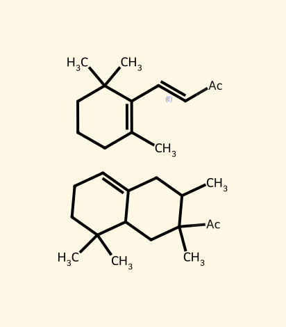 CC(=O)/C=C/C1=C(C)CCCC1(C)C.CC(=O)C1(C)CC2C(=CCCC2(C)C)CC1C